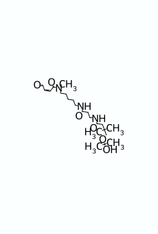 CN(CCCCCNC(=O)CCNC(=O)CC(C)(C)COC(C)(C)O)C(=O)/C=C\C=O